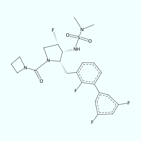 CN(C)S(=O)(=O)N[C@H]1[C@@H](F)CN(C(=O)N2CCC2)[C@H]1Cc1cccc(-c2cc(F)cc(F)c2)c1F